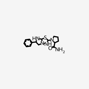 NC(=O)C1CCCN1C1NN2CC(c3ccccc3)NC2S1